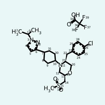 CC(C)n1ccc(C2CCC(N3C[C@H](CS(C)(=O)=O)OC[C@@H]3Cc3ccc(Cl)cc3)CC2)n1.O=C(O)C(F)(F)F